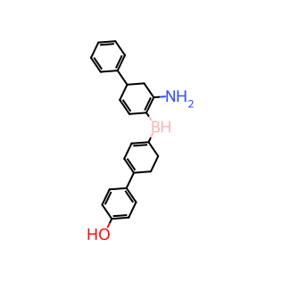 NC1=C(BC2=CC=C(c3ccc(O)cc3)CC2)C=CC(c2ccccc2)C1